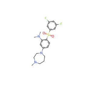 CN1CCCN(c2ccc(S(=O)(=O)c3cc(F)cc(F)c3)c(N(C)C)c2)CC1